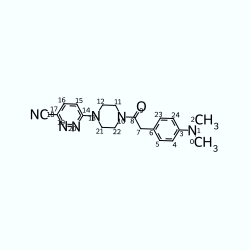 CN(C)c1ccc(CC(=O)N2CCN(c3ccc(C#N)nn3)CC2)cc1